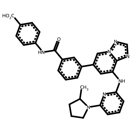 CC1CCCN1c1cccc(Nc2cc(-c3cccc(C(=O)Nc4ccc(C(=O)O)cc4)c3)cn3ncnc23)n1